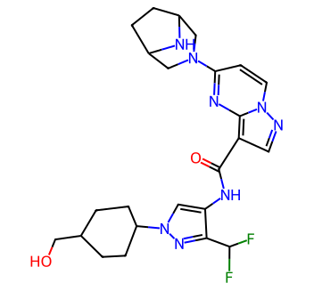 O=C(Nc1cn(C2CCC(CO)CC2)nc1C(F)F)c1cnn2ccc(N3CC4CCC(C3)N4)nc12